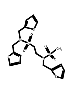 CS(=O)(=O)N(CCS(=O)(=O)N(Cc1cccs1)Cc1cccs1)Cc1cccs1